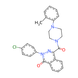 Cc1ccccc1N1CCN(C(=O)c2nn(-c3ccc(Cl)cc3)c(=O)c3ccccc23)CC1